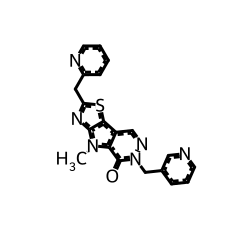 Cn1c2nc(Cc3ccccn3)sc2c2cnn(Cc3cccnc3)c(=O)c21